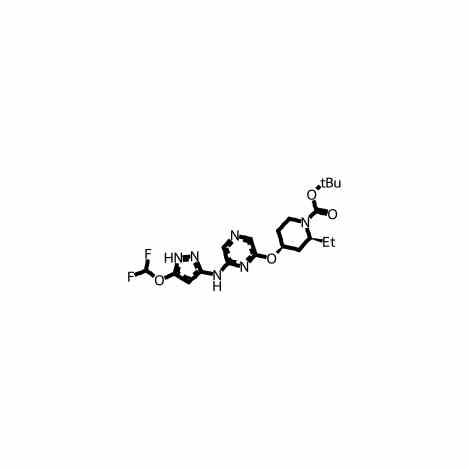 CC[C@H]1C[C@@H](Oc2cncc(Nc3cc(OC(F)F)[nH]n3)n2)CCN1C(=O)OC(C)(C)C